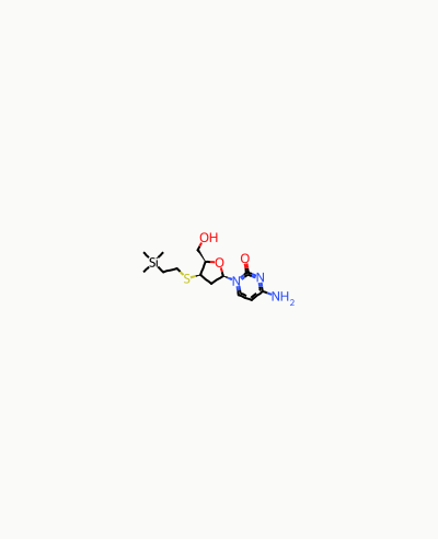 C[Si](C)(C)CCS[C@@H]1C[C@H](n2ccc(N)nc2=O)O[C@@H]1CO